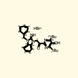 Br.CC(C)(C)c1nc(C(=O)Cn2c(=N)n(Cc3ccccc3)c3ccccc32)nc(C(C)(C)C)c1O